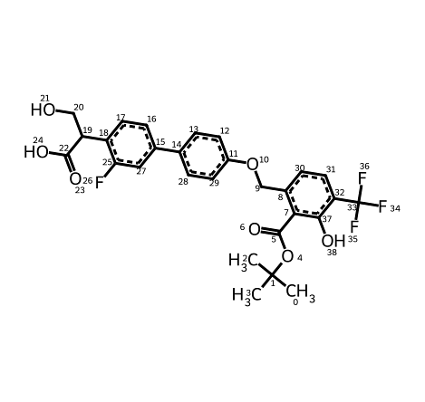 CC(C)(C)OC(=O)c1c(COc2ccc(-c3ccc(C(CO)C(=O)O)c(F)c3)cc2)ccc(C(F)(F)F)c1O